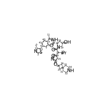 Cc1ncsc1-c1ccc(C(C)NC(=O)[C@@H]2C[C@@H](O)CN2C(=O)C(c2cc(OC3CC4(CCNCC4)C3)no2)C(C)C)cc1